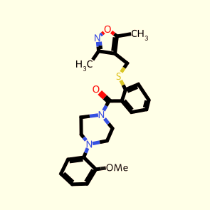 COc1ccccc1N1CCN(C(=O)c2ccccc2SCc2c(C)noc2C)CC1